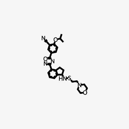 CC(C)Oc1ccc(-c2nc(-c3cccc4c3CCC4NSCCN3CCOCC3)no2)cc1C#N